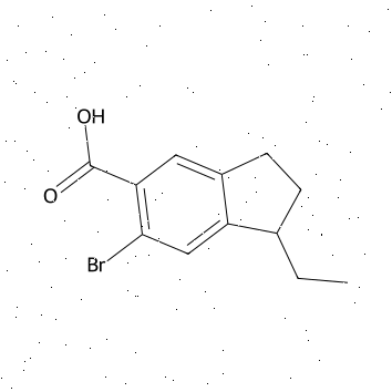 CCC1CCc2cc(C(=O)O)c(Br)cc21